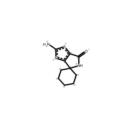 Nc1nc2c(s1)C(=O)NC21CCCCC1